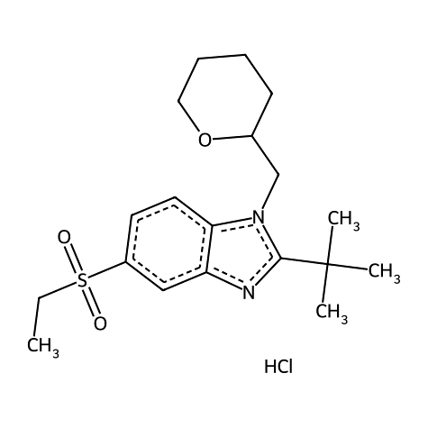 CCS(=O)(=O)c1ccc2c(c1)nc(C(C)(C)C)n2CC1CCCCO1.Cl